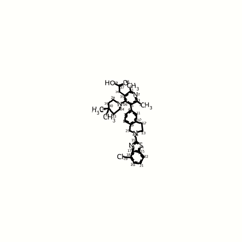 Cc1nc(C)c(-c2ccc3c(c2)CCN(c2nc4c(Cl)cccc4s2)C3)c(N2CCC(C)(C)CC2)c1CC(=O)O